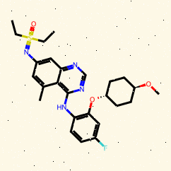 CCS(=O)(CC)=Nc1cc(C)c2c(Nc3ccc(F)cc3O[C@H]3CC[C@H](OC)CC3)ncnc2c1